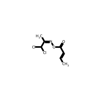 C/C=C/C(=O)ON=C(C)C(Cl)Cl